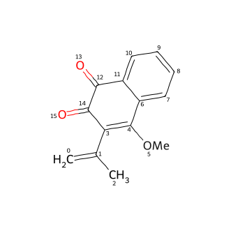 C=C(C)C1=C(OC)c2ccccc2C(=O)C1=O